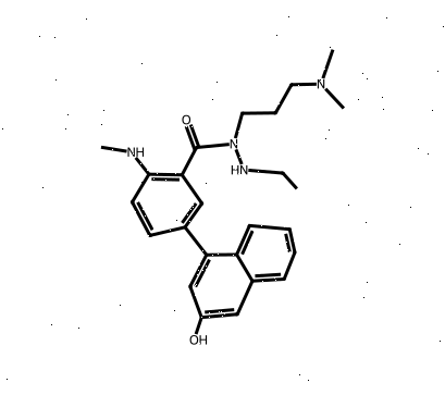 CCNN(CCCN(C)C)C(=O)c1cc(-c2cc(O)cc3ccccc23)ccc1NC